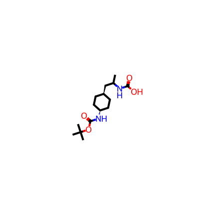 CC(C[C@H]1CC[C@H](NC(=O)OC(C)(C)C)CC1)NC(=O)O